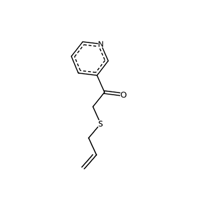 C=CCSCC(=O)c1cccnc1